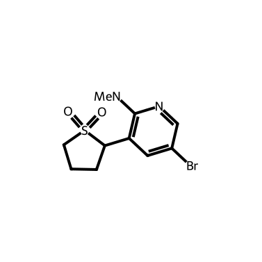 CNc1ncc(Br)cc1C1CCCS1(=O)=O